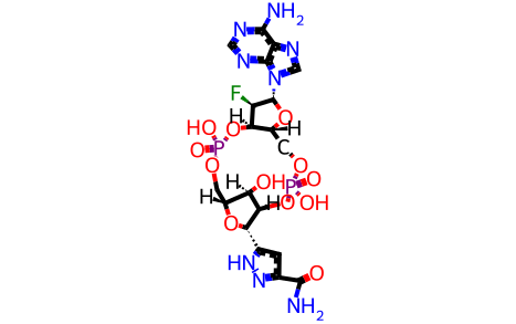 NC(=O)c1cc([C@@H]2O[C@@H]3COP(=O)(O)O[C@H]4[C@@H](F)[C@H](n5cnc6c(N)ncnc65)O[C@@H]4COP(=O)(O)O[C@@H]2[C@@H]3O)[nH]n1